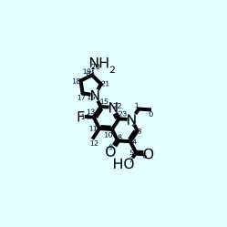 CCn1cc(C(=O)O)c(=O)c2c(C)c(F)c(N3CC[C@H](N)C3)nc21